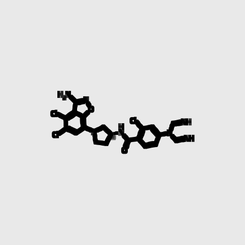 N=CN(C=N)c1ccc(C(=O)N[C@@H]2CCN(c3cc(Cl)c(Cl)c4c(N)noc34)C2)c(Cl)c1